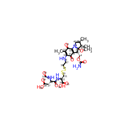 CO[C@@]12[C@H](COC(N)=O)C3=C(C(=O)C(C)=C(NCCSSC[C@H](NC(=O)[C@H](CC(=O)O)NC=O)C(=O)O)C3=O)N1C[C@H](C)[C@@H]2C